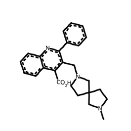 CN1CCC2(CCN(Cc3c(-c4ccccc4)nc4ccccc4c3C(=O)O)C2)C1